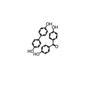 O=C(c1ccc(O)cc1)c1ccc(O)cc1.Oc1ccc(-c2ccc(O)cc2)cc1